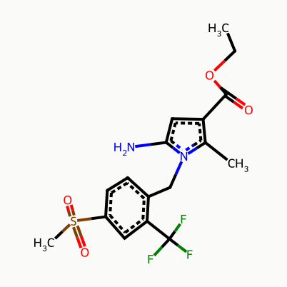 CCOC(=O)c1cc(N)n(Cc2ccc(S(C)(=O)=O)cc2C(F)(F)F)c1C